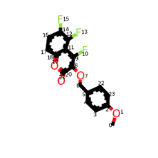 COc1ccc(COc2c(F)c3c(F)c(F)ccc3oc2=O)cc1